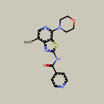 COc1cnc(N2CCOCC2)c2sc(NC(=O)c3ccncc3)nc12